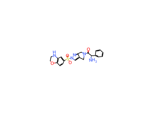 N[C@@H](C(=O)N1Cc2cn(S(=O)(=O)c3ccc4c(c3)NCCO4)nc2C1)c1ccccc1